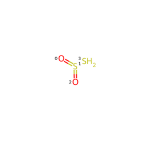 O=S=O.S